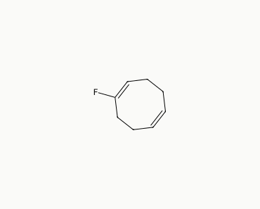 FC1=CCCC=CCC1